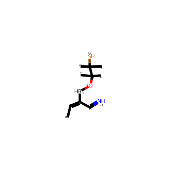 C/C=C(/BOC(C)(C)C(C)(C)S)C=N